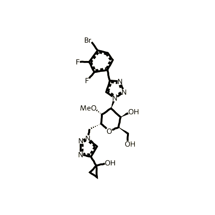 CO[C@@H]1[C@@H](n2cc(-c3ccc(Br)c(F)c3F)nn2)[C@@H](O)[C@@H](CO)O[C@@H]1Cn1cc(C2(O)CC2)nn1